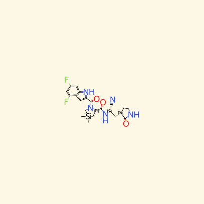 C[Si]1(C)C[C@@H](C(=O)N[C@H](C#N)C[C@@H]2CCNC2=O)N(C(=O)c2cc3c(F)cc(F)cc3[nH]2)C1